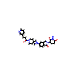 O=C1CCC(N2Cc3cc(N4CC5(CCN(C(=O)CCc6cccnc6)CC5)C4)ccc3C2=O)C(=O)N1